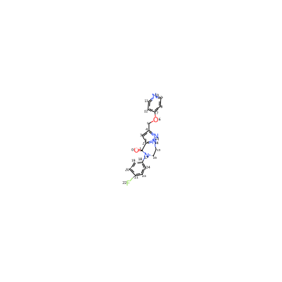 O=C1c2cc(COc3ccncc3)nn2CCN1c1ccc(F)cc1